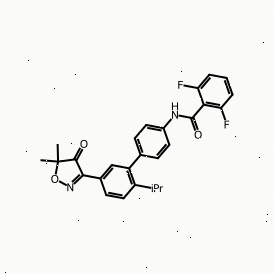 CC(C)c1ccc(C2=NOC(C)(C)C2=O)cc1-c1ccc(NC(=O)c2c(F)cccc2F)cc1